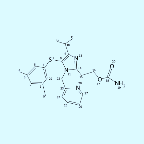 Cc1cc(C)cc(Sc2c(C(C)C)nc(CCOC(N)=O)n2Cc2ccccn2)c1